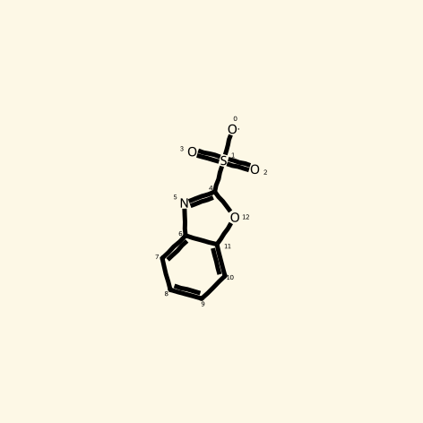 [O]S(=O)(=O)c1nc2ccccc2o1